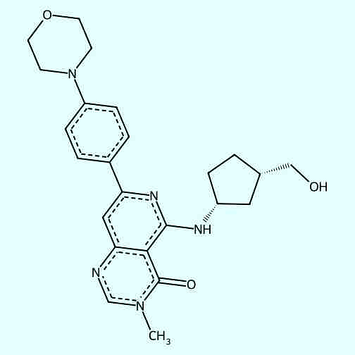 Cn1cnc2cc(-c3ccc(N4CCOCC4)cc3)nc(N[C@@H]3CC[C@H](CO)C3)c2c1=O